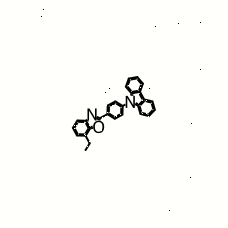 CCc1cccc2nc(-c3ccc(-n4c5ccccc5c5ccccc54)cc3)oc12